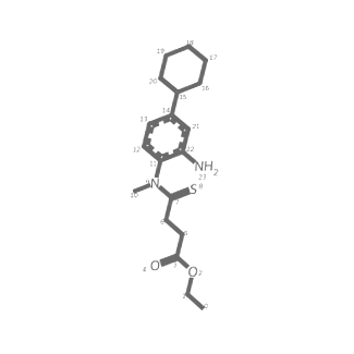 CCOC(=O)CCC(=S)N(C)c1ccc(C2CCCCC2)cc1N